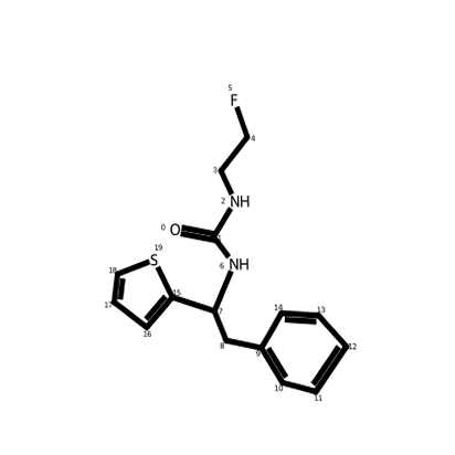 O=C(NCCF)NC(Cc1ccccc1)c1cccs1